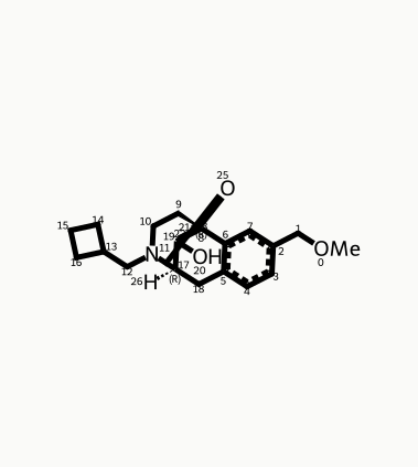 COCc1ccc2c(c1)[C@]13CCN(CC4CCC4)[C@H](C2)C1(O)CCCC3=O